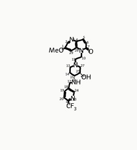 COc1cnc2ccc(=O)n(CCN3CC[C@@H](NCc4ccc(C(F)(F)F)nc4)[C@@H](O)C3)c2c1